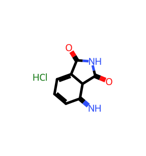 Cl.N=C1C=CC=C2C(=O)NC(=O)C12